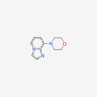 c1cc(N2CCOCC2)c2nccn2c1